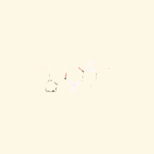 COc1sccc1C(=O)NC1CCC(O)NC1=O